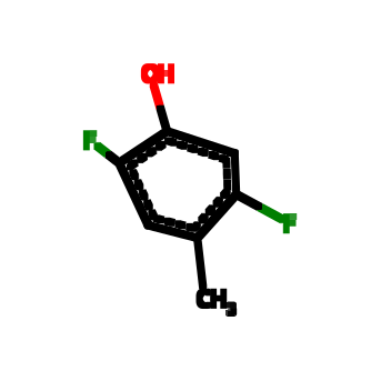 Cc1cc(F)c(O)cc1F